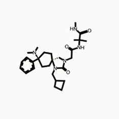 CNC(=O)C(C)(C)NC(=O)CN1C[C@]2(CC[C@](c3ccccc3)(N(C)C)CC2)N(CC2CCC2)C1=O